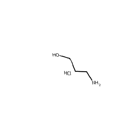 Cl.NCCCO